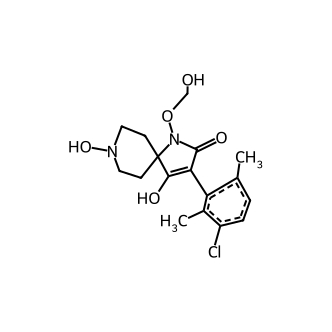 Cc1ccc(Cl)c(C)c1C1=C(O)C2(CCN(O)CC2)N(OCO)C1=O